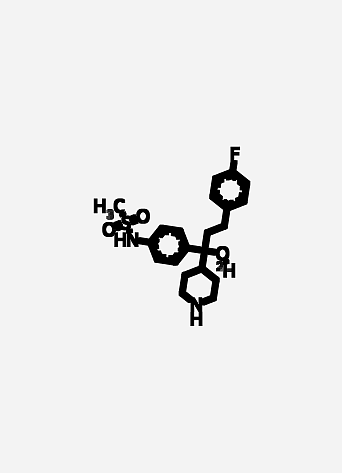 [2H]OC(CCc1ccc(F)cc1)(c1ccc(NS(C)(=O)=O)cc1)C1CCNCC1